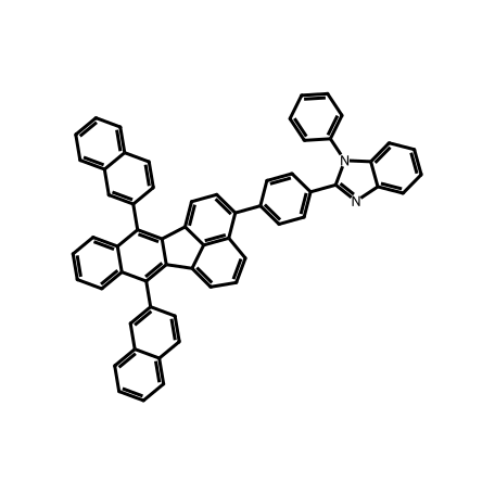 c1ccc(-n2c(-c3ccc(-c4ccc5c6c(cccc46)-c4c-5c(-c5ccc6ccccc6c5)c5ccccc5c4-c4ccc5ccccc5c4)cc3)nc3ccccc32)cc1